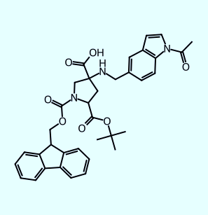 CC(=O)n1ccc2cc(CNC3(C(=O)O)CC(C(=O)OC(C)(C)C)N(C(=O)OCC4c5ccccc5-c5ccccc54)C3)ccc21